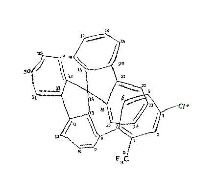 FC(F)(F)c1cc(Cl)ccc1-c1cccc2c1C1(c3ccccc3-c3ccccc31)c1ccccc1-2